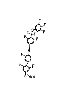 CCCCCc1cc(F)c(-c2ccc(C#Cc3cc(F)c(C(F)(F)Oc4cc(F)c(F)c(F)c4)c(F)c3)c(F)c2)c(F)c1